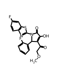 COCC(=O)C1=C(O)C(=O)N(c2nc3ccc(F)cc3s2)C1c1ccccc1F